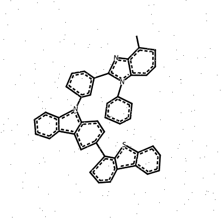 Cc1cccc2c1nc(-c1cccc(-n3c4ccccc4c4cc(-c5cccc6c5sc5ccccc56)ccc43)c1)n2-c1ccccc1